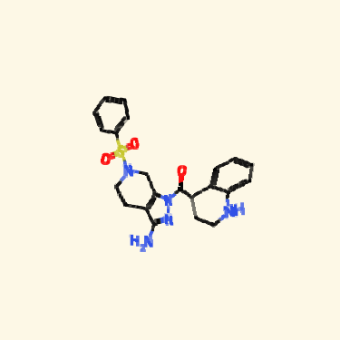 Nc1nn(C(=O)C2CCNc3ccccc32)c2c1CCN(S(=O)(=O)c1ccccc1)C2